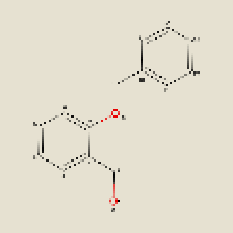 [O]Cc1ccccc1OCc1ccccc1